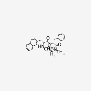 CN[C@H](Cc1ccc2ccccc2c1)C(=O)N(C)[C@H](Cc1ccccc1)C(=O)N(C)C